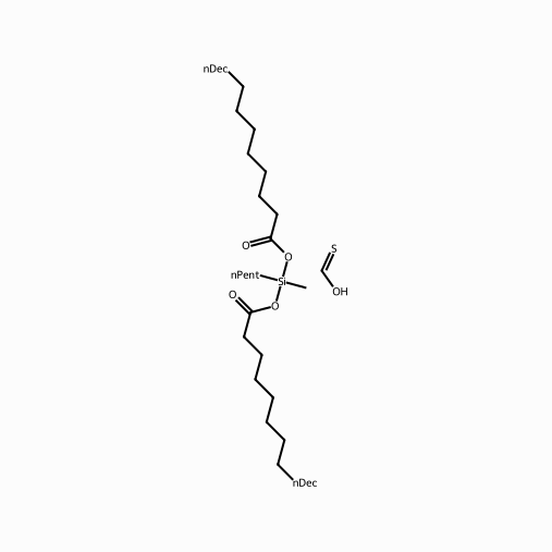 CCCCCCCCCCCCCCCCCC(=O)O[Si](C)(CCCCC)OC(=O)CCCCCCCCCCCCCCCCC.OC=S